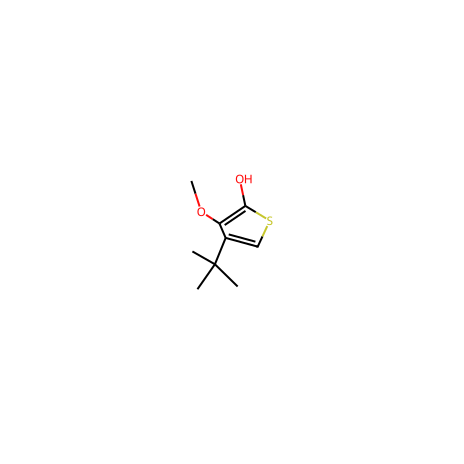 COc1c(C(C)(C)C)csc1O